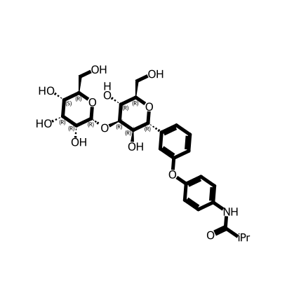 CC(C)C(=O)Nc1ccc(Oc2cccc([C@H]3O[C@H](CO)[C@@H](O)[C@H](O[C@H]4O[C@H](CO)[C@@H](O)[C@@H](O)[C@H]4O)[C@@H]3O)c2)cc1